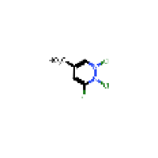 O=C(O)C1=CN(Cl)N(Cl)C(Cl)=C1